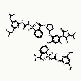 CC(C)=C1OC(=O)N(c2cc(OC3CCCC3)c(Cl)cc2F)C1=O.COc1cc(OC)nc(NC(=O)NS(=O)(=O)c2ncccc2C(=O)N(C)C)n1.O=C(Nc1nc(OC(F)F)cc(OC(F)F)n1)NS(=O)(=O)c1ccccc1C(=O)O